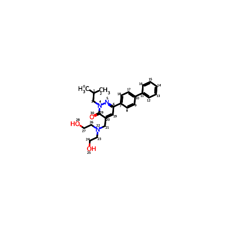 CC(C)Cn1nc(-c2ccc(-c3ccccc3)cc2)cc(CN(CCO)CCO)c1=O